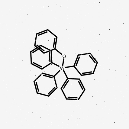 c1ccc([O][W]([c]2ccccc2)([c]2ccccc2)([c]2ccccc2)[c]2ccccc2)cc1